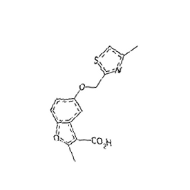 Cc1csc(COc2ccc3oc(C)c(C(=O)O)c3c2)n1